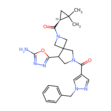 CC1(C)C[C@@H]1C(=O)N1CC2(CN(C(=O)c3cnn(Cc4ccccc4)c3)CC2c2nnc(N)o2)C1